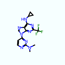 CN(C)c1nccc(-n2cnc3c(NC4CC4)nc(C(F)(F)F)nc32)n1